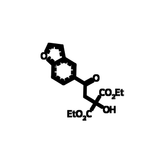 CCOC(=O)C(O)(CC(=O)c1ccc2occc2c1)C(=O)OCC